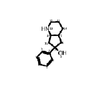 OC1(c2ccccc2)CC2CCCNC2C1